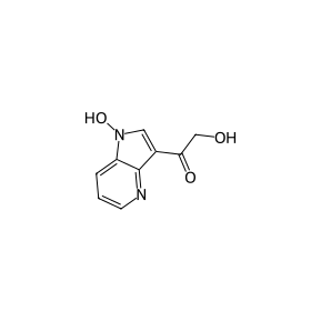 O=C(CO)c1cn(O)c2cccnc12